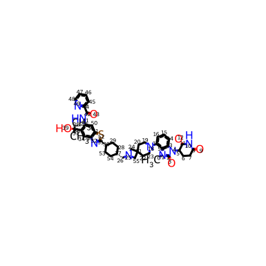 Cn1c(=O)n(C2CCC(=O)NC2=O)c2cccc(N3CCC4(CC3)CN(C[C@H]3CC[C@H](c5nc6cc(C(C)(C)O)c(NC(=O)c7ccccn7)cc6s5)CC3)C4)c21